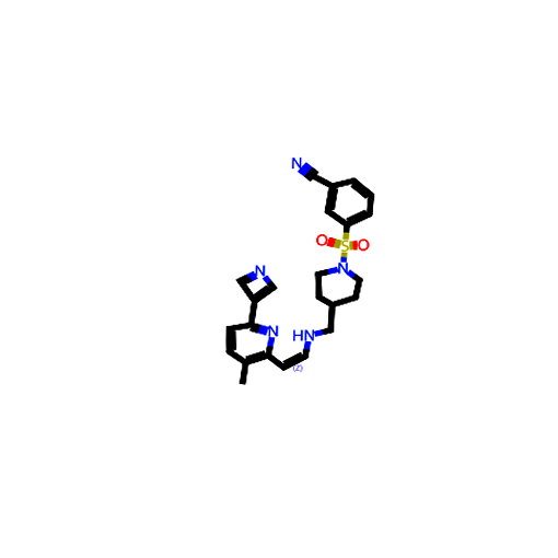 Cc1ccc(C2=CN=C2)nc1/C=C\NCC1CCN(S(=O)(=O)c2cccc(C#N)c2)CC1